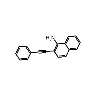 Nc1c(C#Cc2ccccc2)ccc2ccccc12